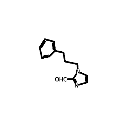 O=Cc1nccn1CCCc1ccccc1